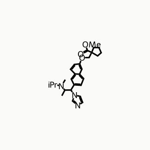 COC(=O)C1(COc2ccc3cc(C(C(C)N(C)C(C)C)n4ccnc4)ccc3c2)CCCC1